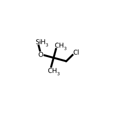 CC(C)(CCl)O[SiH3]